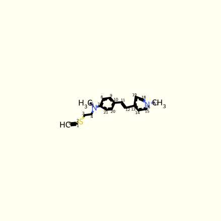 C#CSCCN(C)c1ccc(/C=C/c2cc[n+](C)cc2)cc1